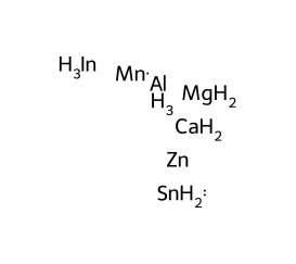 [AlH3].[CaH2].[InH3].[MgH2].[Mn].[SnH2].[Zn]